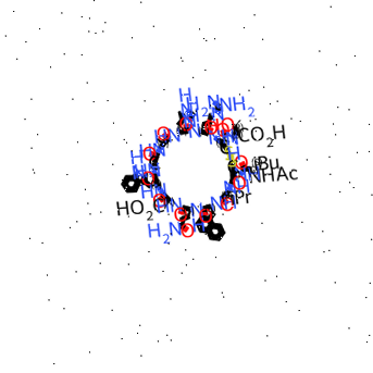 CC[C@H](C)[C@H](NC(C)=O)C(=O)N[C@H]1CSSC[C@@H](C(=O)N[C@H](C(=O)O)[C@@H](C)O)NC(=O)[C@H](CCCN=C(N)N)NC(=O)[C@@H](Cc2c[nH]cn2)NC(=O)[C@H](C)NC(=O)CNC(=O)[C@H](Cc2c[nH]c3ccccc23)NC(=O)[C@@H](CC(=O)O)NC(=O)[C@H](CCC(N)=O)NC(=O)[C@H](Cc2cccc3ccccc23)NC(=O)[C@H](C(C)C)NC1=O